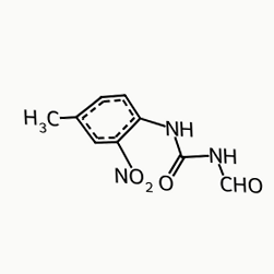 Cc1ccc(NC(=O)NC=O)c([N+](=O)[O-])c1